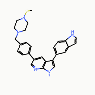 CSN1CCN(Cc2ccc(-c3cnc4[nH]cc(-c5ccc6[nH]ccc6c5)c4c3)cc2)CC1